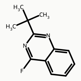 CC(C)(C)c1nc(F)c2ccccc2n1